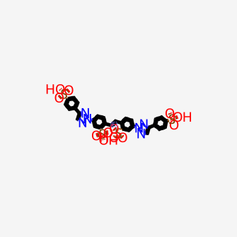 O=S(=O)(O)c1ccc(-c2cnn(-c3ccc(/C=C/c4ccc(-n5ncc(-c6ccc(S(=O)(=O)O)cc6)n5)cc4S(=O)(=O)O)c(S(=O)(=O)O)c3)n2)cc1